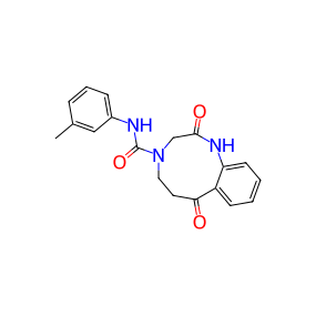 Cc1cccc(NC(=O)N2CCC(=O)c3ccccc3NC(=O)C2)c1